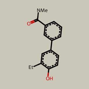 CCc1cc(-c2cccc(C(=O)NC)c2)ccc1O